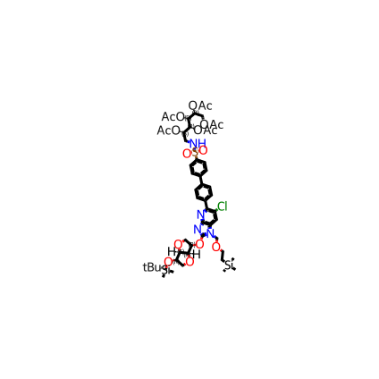 CC(=O)OC[C@@H](OC(C)=O)[C@@H](OC(C)=O)[C@H](OC(C)=O)[C@H](CNS(=O)(=O)c1ccc(-c2ccc(-c3nc4nc(O[C@@H]5CO[C@H]6[C@@H]5OC[C@H]6O[Si](C)(C)C(C)(C)C)n(COCC[Si](C)(C)C)c4cc3Cl)cc2)cc1)OC(C)=O